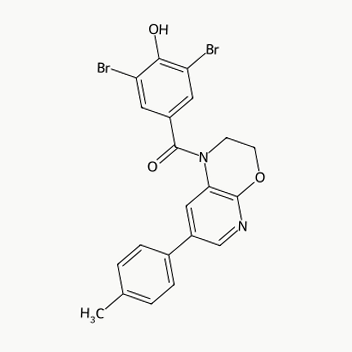 Cc1ccc(-c2cnc3c(c2)N(C(=O)c2cc(Br)c(O)c(Br)c2)CCO3)cc1